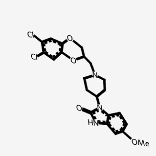 COc1ccc2c(c1)[nH]c(=O)n2C1CCN(CC2COc3cc(Cl)c(Cl)cc3O2)CC1